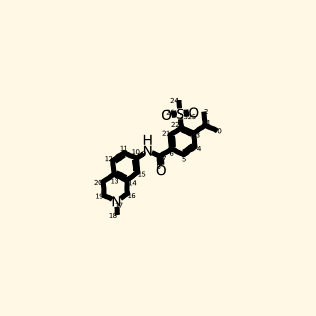 CC(C)c1ccc(C(=O)Nc2ccc3c(c2)CN(C)CC3)cc1S(C)(=O)=O